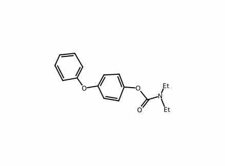 CCN(CC)C(=O)Oc1ccc(Oc2ccccc2)cc1